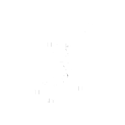 [2H]C1(CCC)O[C@@H]2C[C@H]3[C@@H]4CCC5=CC(=O)C=C[C@]5(C)[C@H]4[C@@H](O)C[C@]3(C)[C@]2(C(=O)CO)O1